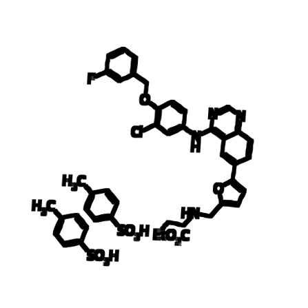 CCOC(=O)CCNCc1ccc(-c2ccc3ncnc(Nc4ccc(OCc5cccc(F)c5)c(Cl)c4)c3c2)o1.Cc1ccc(S(=O)(=O)O)cc1.Cc1ccc(S(=O)(=O)O)cc1